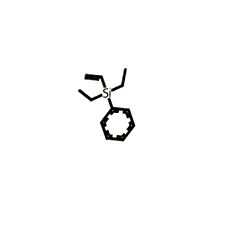 C=C[Si](CC)(CC)c1ccccc1